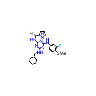 CCC(Nc1nc(NCC2CCCCC2)nc(Nc2ccc(SC)c(F)c2)n1)C1CCCN1